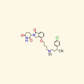 CCN(CCCCOc1cccc2c1CN(C1CCC(=O)NC1=O)C2=O)CC[C@@H](C#N)c1ccc(Cl)cc1